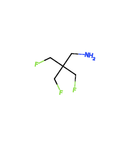 NCC(CF)(CF)CF